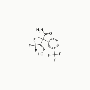 CC(C(N)=O)(C(=NO)C(F)(F)F)c1cccc(C(F)(F)F)c1